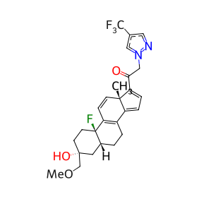 COC[C@@]1(O)CC[C@]2(F)C3=C(CC[C@@H]2C1)C1=CC=C(C(=O)Cn2cc(C(F)(F)F)cn2)[C@@]1(C)C=C3